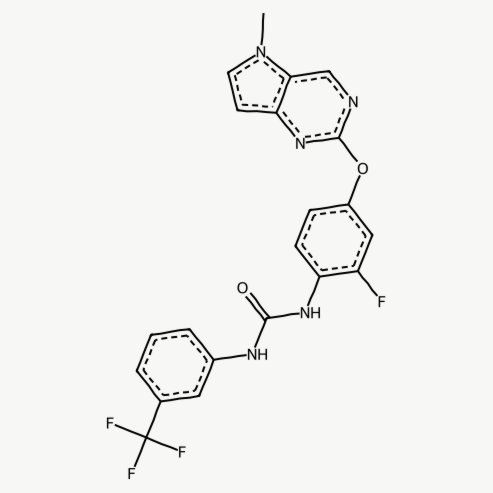 Cn1ccc2nc(Oc3ccc(NC(=O)Nc4cccc(C(F)(F)F)c4)c(F)c3)ncc21